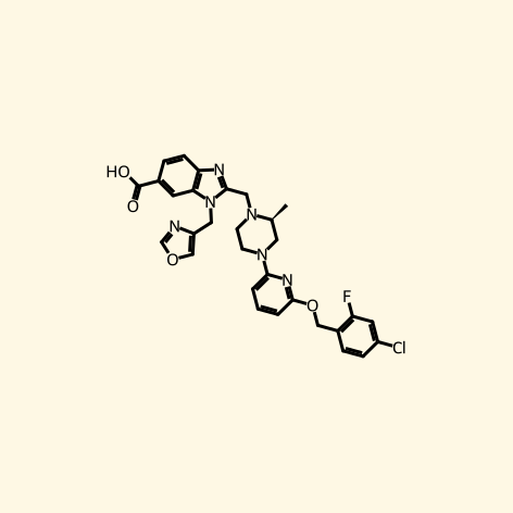 C[C@H]1CN(c2cccc(OCc3ccc(Cl)cc3F)n2)CCN1Cc1nc2ccc(C(=O)O)cc2n1Cc1cocn1